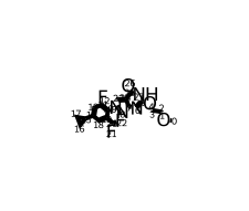 COCCOc1nc2nn(-c3c(F)cc(C4CC4)cc3C(F)F)cc2c(=O)[nH]1